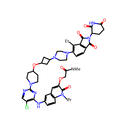 CCc1c(N2CCN(C3CC(OC4CCN(c5ncc(Cl)c(Nc6ccc7c(c6)cc(OCC(=O)NC)c(=O)n7C(C)C)n5)CC4)C3)CC2)ccc2c1C(=O)N(C1CCC(=O)NC1=O)C2=O